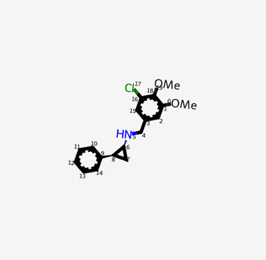 COc1cc(CN[C@@H]2C[C@H]2c2ccccc2)cc(Cl)c1OC